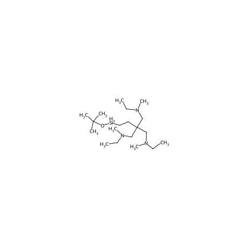 CCN(C)CC(CC[SiH2]OC(C)(C)C)(CN(C)CC)CN(C)CC